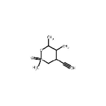 C#CC1CP(C)(=O)OC(C)C1C